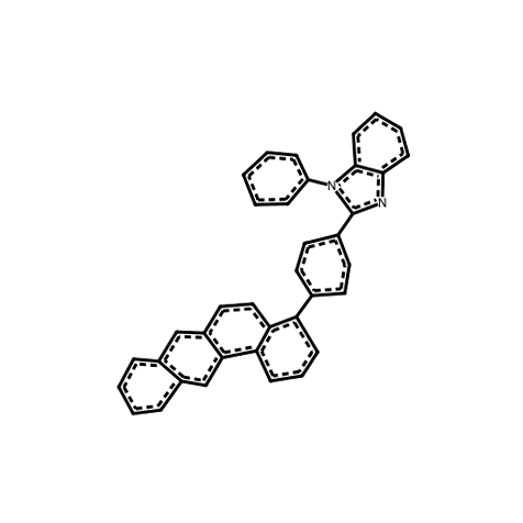 c1ccc(-n2c(-c3ccc(-c4cccc5c4ccc4cc6ccccc6cc45)cc3)nc3ccccc32)cc1